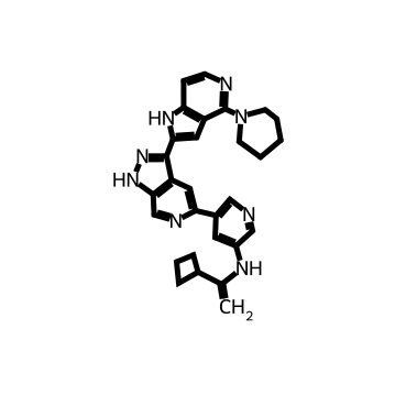 C=C(Nc1cncc(-c2cc3c(-c4cc5c(N6CCCCC6)nccc5[nH]4)n[nH]c3cn2)c1)C1CCC1